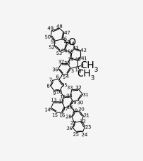 CC1(C)c2cc(-c3cccc(-c4c5ccccc5c(-c5ccc6ccccc6c5)c5ccccc45)c3)ccc2-c2c1ccc1oc3c4ccccc4ccc3c21